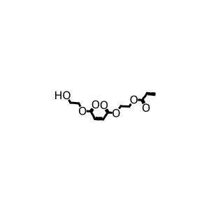 C=CC(=O)OCCOC(=O)/C=C\C(=O)OCCO